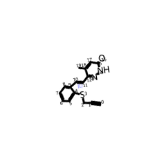 C#CCSc1ccccc1/C=C/c1n[nH]c(=O)cc1C